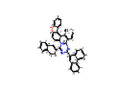 C/C=C\C(=C(/C)c1cccc2oc3ccccc3c12)c1nc(-c2ccc3ccccc3c2)nc(-c2cc3ccccc3c3ccccc23)n1